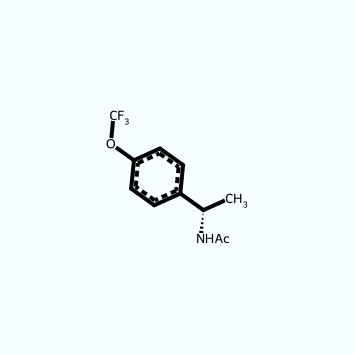 CC(=O)N[C@@H](C)c1ccc(OC(F)(F)F)cc1